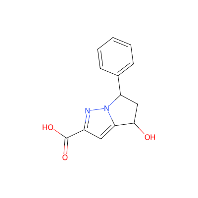 O=C(O)c1cc2n(n1)C(c1ccccc1)CC2O